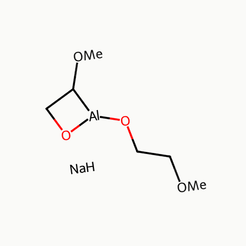 COCC[O][Al]1[O]C[CH]1OC.[NaH]